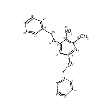 Cc1nc(OCc2ccccc2)nc(OCc2ccccc2)c1[N+](=O)[O-]